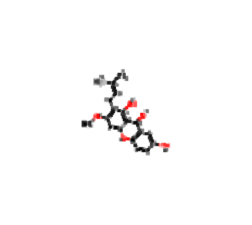 COc1cc2oc3ccc(O)cc3c(=O)c2c(O)c1CC=C(C)C